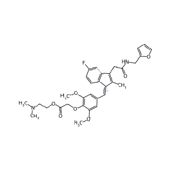 COc1cc(/C=C2/C(C)=C(CC(=O)NCc3ccco3)c3cc(F)ccc32)cc(OC)c1OCC(=O)OCCN(C)C